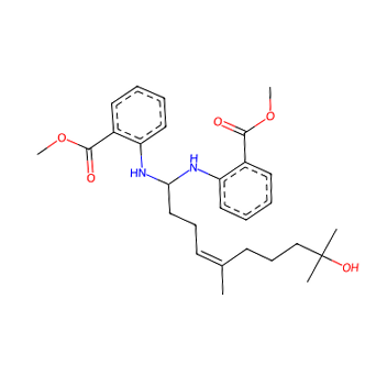 COC(=O)c1ccccc1NC(CCC=C(C)CCCC(C)(C)O)Nc1ccccc1C(=O)OC